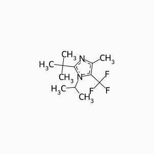 Cc1nc(C(C)(C)C)n(C(C)C)c1C(F)(F)F